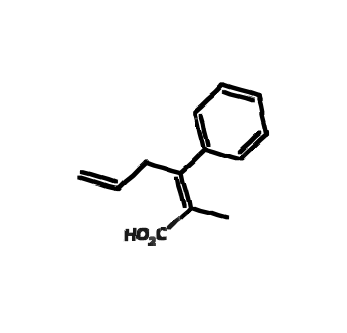 C=CCC(=C(C)C(=O)O)c1ccccc1